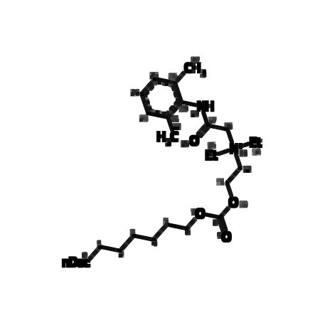 CCCCCCCCCCCCCCCCOC(=O)OCC[N+](CC)(CC)CC(=O)Nc1c(C)cccc1C